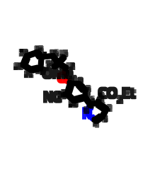 CCOC(=O)c1cccnc1-c1ccc(OCC(C)(C)Cc2ccccc2OC)c(C#N)c1